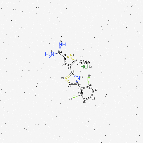 CSc1sc(C(=N)N)cc1-c1nc(-c2c(F)cccc2F)cs1.Cl